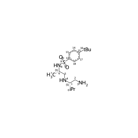 CC(C)[C@@H](CN)NC[C@H](C)NS(=O)(=O)c1ccc(C(C)(C)C)cc1